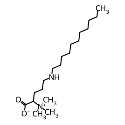 CCCCCCCCCCCNCCCC(C(=O)[O-])[N+](C)(C)C